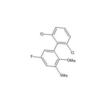 COc1c(SC)cc(F)cc1-c1c(Cl)cccc1Cl